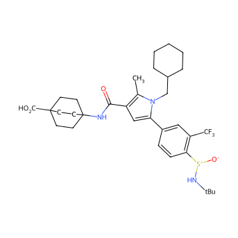 Cc1c(C(=O)NC23CCC(C(=O)O)(CC2)CC3)cc(-c2ccc([S+]([O-])NC(C)(C)C)c(C(F)(F)F)c2)n1CC1CCCCC1